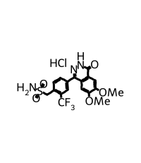 COc1cc2c(-c3ccc(CS(N)(=O)=O)c(C(F)(F)F)c3)n[nH]c(=O)c2cc1OC.Cl